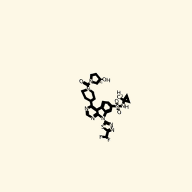 CC1(NS(=O)(=O)c2ccc3c4c(C5CCN(C(=O)N6CC[C@@H](O)C6)CC5)ncnc4n(-c4nnc(C(F)F)s4)c3c2)CC1